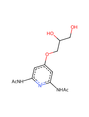 CC(=O)Nc1cc(OCC(O)CO)cc(NC(C)=O)n1